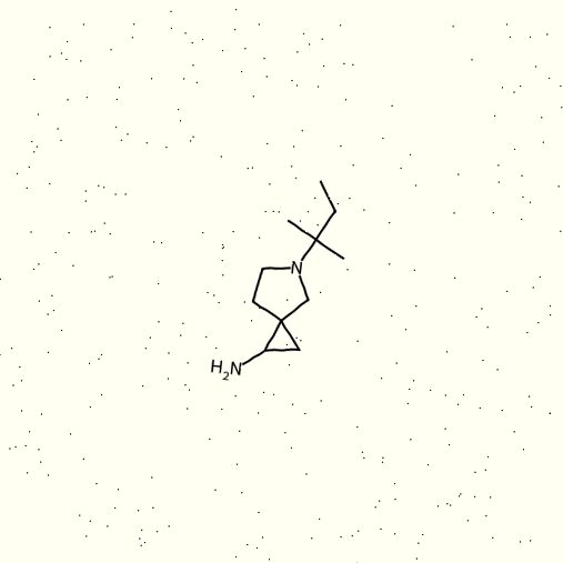 CCC(C)(C)N1CCC2(CC2N)C1